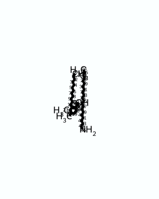 CCCCCCCCCCCCc1c(S(=O)(=O)O)ccc(C)c1C.CCOCCCCCCCCCCCCCCCCCCN